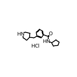 Cl.O=C(NC1CCCC1)c1cccc(CC2CCNCC2)c1